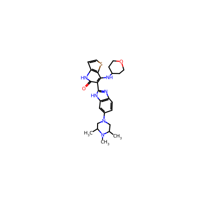 CC1CN(c2ccc3nc(-c4c(NC5CCOCC5)c5sccc5[nH]c4=O)[nH]c3c2)CC(C)N1C